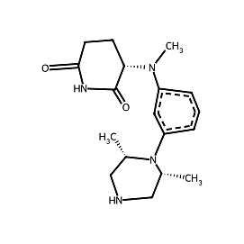 C[C@@H]1CNC[C@H](C)N1c1cccc(N(C)[C@H]2CCC(=O)NC2=O)c1